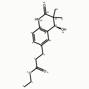 CCOC(=O)CCc1ccc2c(c1)[C@H](O)C(C)(C)C(=O)N2